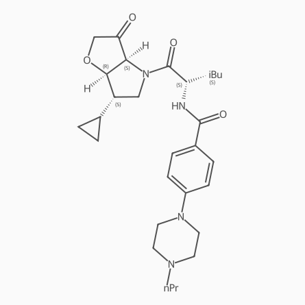 CCCN1CCN(c2ccc(C(=O)N[C@H](C(=O)N3C[C@H](C4CC4)[C@H]4OCC(=O)[C@H]43)[C@@H](C)CC)cc2)CC1